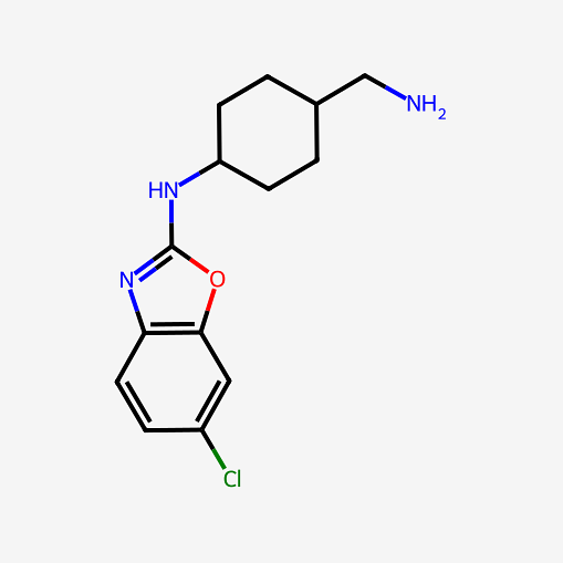 NCC1CCC(Nc2nc3ccc(Cl)cc3o2)CC1